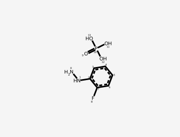 NNc1ccccc1F.O=P(O)(O)O